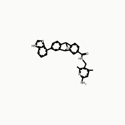 Cc1cc(N)nc(C)c1CNC(=O)c1ccc2c(c1)C1OC2c2ccc(-c3cccc4[nH]cnc34)cc21